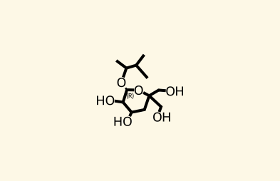 CC(C)C(C)O[C@@H]1OC(CO)(CO)CC(O)C1O